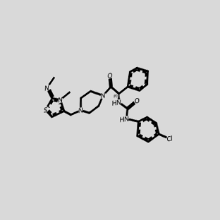 CN=c1scc(CN2CCN(C(=O)[C@H](NC(=O)Nc3ccc(Cl)cc3)c3ccccc3)CC2)n1C